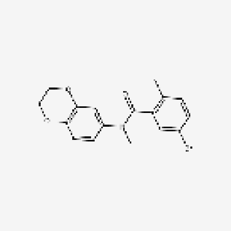 Cc1ccc(Br)cc1C(=O)N(C)c1ccc2c(c1)OCCO2